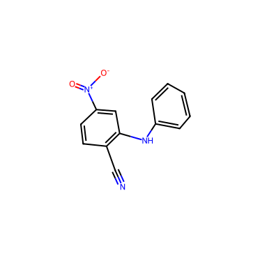 N#Cc1ccc([N+](=O)[O-])cc1Nc1ccccc1